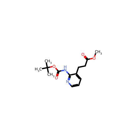 COC(=O)CCc1cccnc1NC(=O)OC(C)(C)C